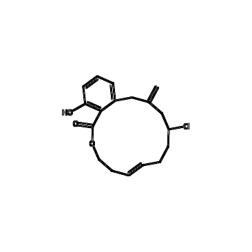 C=C1Cc2cccc(O)c2C(=O)OCC/C=C/CCC(Cl)C1